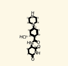 Cl.O=C1CCC(NC(=O)c2ccc(N3CCNCC3)cc2)C(=O)N1